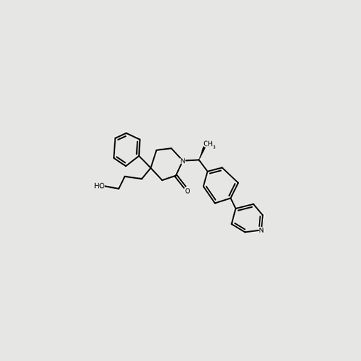 C[C@@H](c1ccc(-c2ccncc2)cc1)N1CCC(CCCO)(c2ccccc2)CC1=O